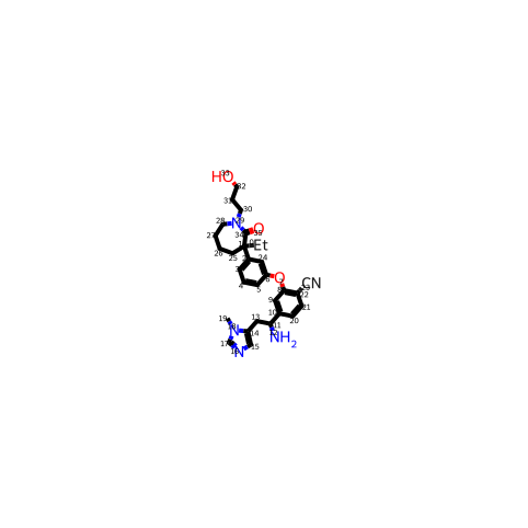 CCC1(c2cccc(Oc3cc(C(N)Cc4cncn4C)ccc3C#N)c2)CCCCN(CCCO)C1=O